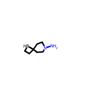 NN1CCC2(BCC2)CC1